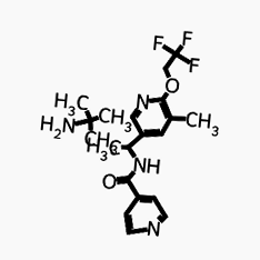 CC(C)(C)N.Cc1cc(C(C)NC(=O)c2ccncc2)cnc1OCC(F)(F)F